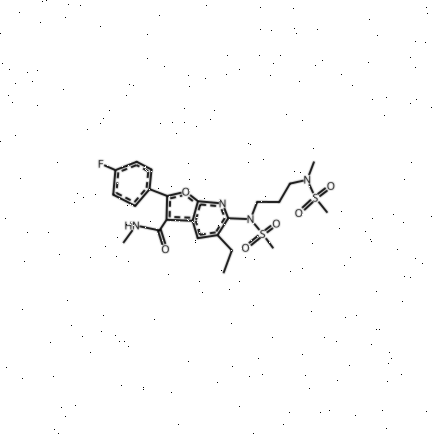 CCc1cc2c(C(=O)NC)c(-c3ccc(F)cc3)oc2nc1N(CCCN(C)S(C)(=O)=O)S(C)(=O)=O